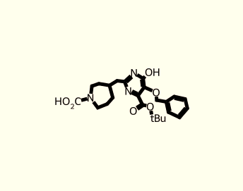 CC(C)(C)OC(=O)c1nc(CC2CCCN(C(=O)O)CC2)nc(O)c1OCc1ccccc1